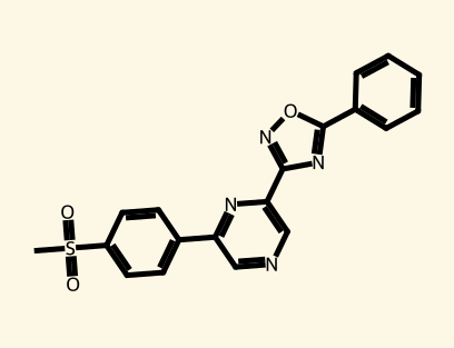 CS(=O)(=O)c1ccc(-c2cncc(-c3noc(-c4ccccc4)n3)n2)cc1